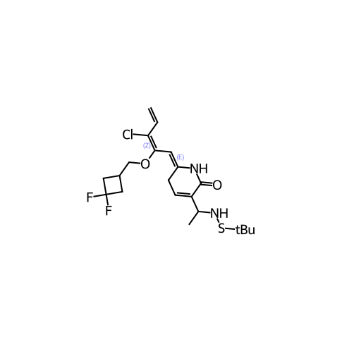 C=C/C(Cl)=C(\C=C1/CC=C(C(C)NSC(C)(C)C)C(=O)N1)OCC1CC(F)(F)C1